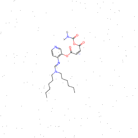 CCCCCCN(C=Nc1ccncc1OC(=O)/C=C\C(=O)OC(=O)N(C)C)CCCCCC